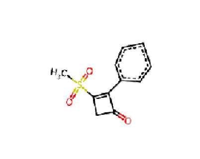 CS(=O)(=O)C1=C(c2ccccc2)C(=O)C1